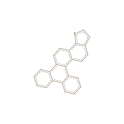 c1ccc2c(c1)c1ccccc1c1c2ccc2c1ccc1ccsc12